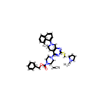 Cc1cccc2cccc(N3CCc4c(nc(SC[C@@H]5CCCN5C)nc4N4CCN(C(=O)OCc5ccccc5)[C@@H](CC#N)C4)C3)c12